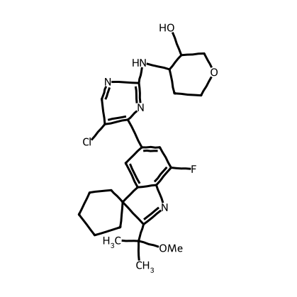 COC(C)(C)C1=Nc2c(F)cc(-c3nc(NC4CCOCC4O)ncc3Cl)cc2C12CCCCC2